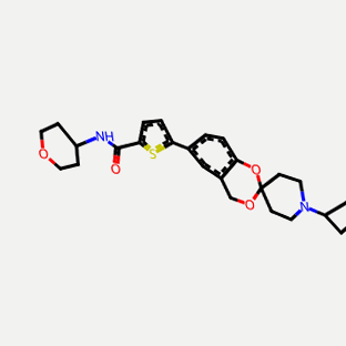 O=C(NC1CCOCC1)c1ccc(-c2ccc3c(c2)COC2(CCN(C4CCC4)CC2)O3)s1